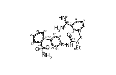 CCC(Cc1cccc(C(=N)N)c1)C(=O)Nc1ccc(-c2ccccc2S(N)(=O)=O)cc1